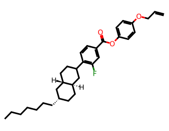 C=CCOc1ccc(OC(=O)c2ccc(C3CC[C@H]4C[C@@H](CCCCCCC)CC[C@@H]4C3)c(F)c2)cc1